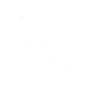 CC(C)CCC1(NC(=O)O)C(=O)C(C2=NS(O)(O)c3cc(NS(C)(=O)=O)ccc3N2)=C(O)c2ccccc21